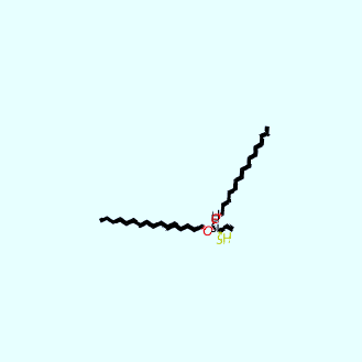 CCCCCCCCCCCCCCCCO[SiH](OCCCCCCCCCCCCCCCC)C(S)CC